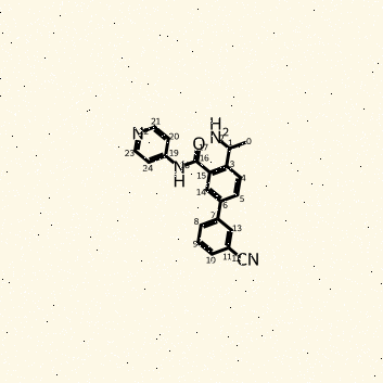 CC(N)c1ccc(-c2cccc(C#N)c2)cc1C(=O)Nc1ccncc1